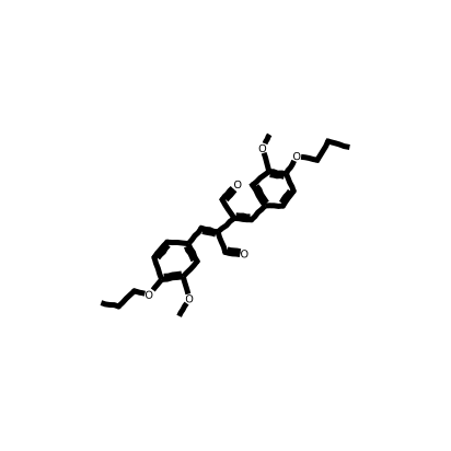 CCCOc1ccc(C=C(C=O)C(C=O)=Cc2ccc(OCCC)c(OC)c2)cc1OC